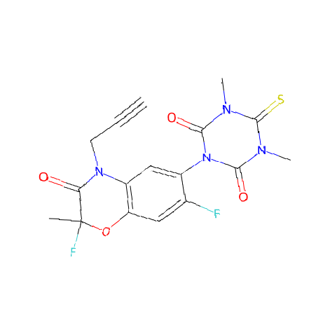 C#CCN1C(=O)C(C)(F)Oc2cc(F)c(-n3c(=O)n(C)c(=S)n(C)c3=O)cc21